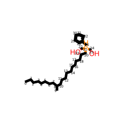 CCCCCCCCC(C)CCCCCCCCCCC[PH](CO)(CO)Cc1ccccc1